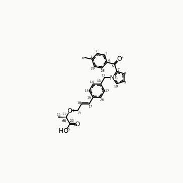 Cc1ccc(C(=O)c2cccn2Cc2ccc(C=CCO[C@H](C)C(=O)O)cc2)cc1